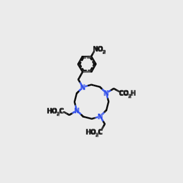 O=C(O)CN1CCN(CC(=O)O)CCN(Cc2ccc([N+](=O)[O-])cc2)CCN(CC(=O)O)CC1